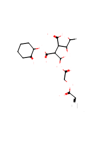 C=CC(=O)OCC(=O)OC1OC2C(C)OC(=O)C2C1C(=O)OC1CCCCC1=O